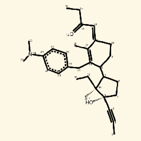 CC#C[C@]1(O)CCC(C2CC/C(=C/C(=O)CC)C(C)=C2Cc2ccc(N(C)C)cc2)[C@]1(C)CC